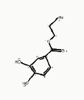 CCC(C)CCOC(=O)c1ccc(O)c(O)c1